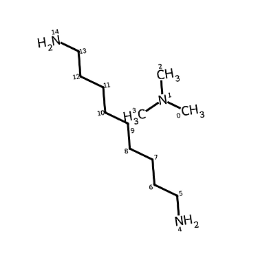 CN(C)C.NCCCCCCCCCN